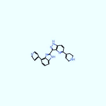 C1=C(c2ccc3[nH]nc(-c4nc5c(-c6ccncc6)cccc5[nH]4)c3n2)CCNC1